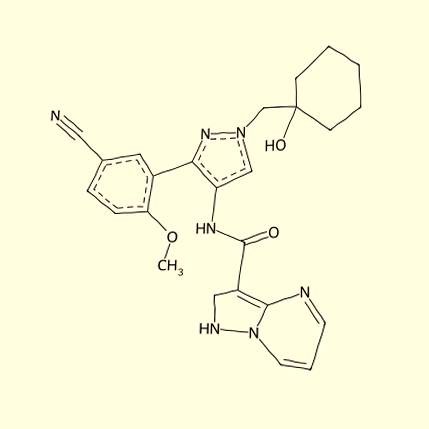 COc1ccc(C#N)cc1-c1nn(CC2(O)CCCCC2)cc1NC(=O)C1=C2N=CC=CN2NC1